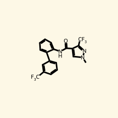 Cn1cc(C(=O)Nc2ccccc2-c2cccc(C(F)(F)F)c2)c(C(F)(F)F)n1